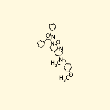 COc1ccc(CN(C)c2cnc3c(=O)n(-c4nc(-c5ccccc5)oc4-c4ccccc4)ccc3c2)cc1